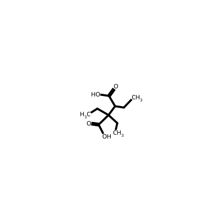 CCC(C(=O)O)C(CC)(CC)C(=O)O